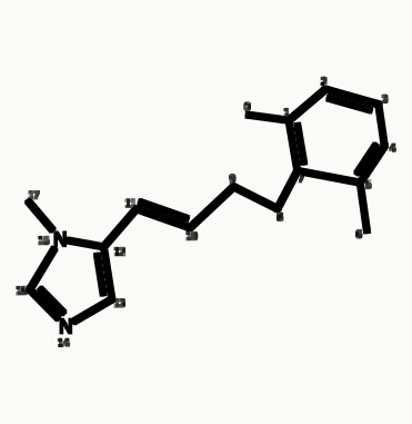 Cc1cccc(C)c1CCC=Cc1cncn1C